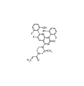 C=CC(=O)N1CCN(c2nc(=O)n(-c3c(F)cccc3C(C)C)c3nc(-c4c(O)cccc4F)c(F)cc23)[C@@H](C)C1